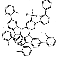 Cc1ccccc1-c1ccc2c3ccc(-c4ccccc4C)cc3n(-c3cc(-c4cccc(-c5ccccc5)n4)c(C(F)(F)F)cc3-n3c4cc(-c5ccccc5C)ccc4c4ccc(-c5ccccc5C)cc43)c2c1